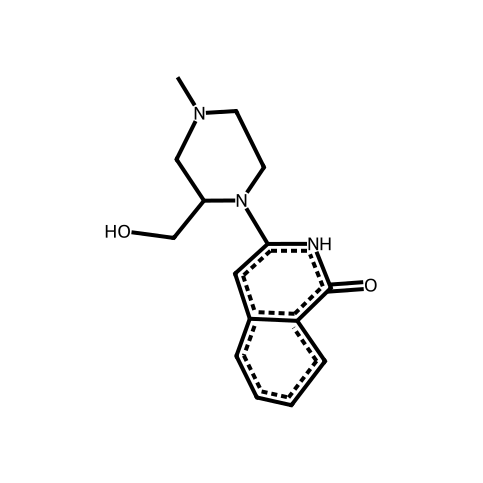 CN1CCN(c2cc3ccccc3c(=O)[nH]2)C(CO)C1